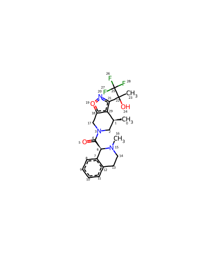 C[C@H]1CN(C(=O)[C@@H]2c3ccccc3CCN2C)Cc2onc(C(C)(O)C(F)(F)F)c21